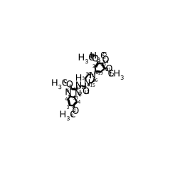 COc1ccc2nc(OC)c(NC(=O)N3CCN(c4cc(OC)c(OC)c(OC)c4)CC3)nc2c1